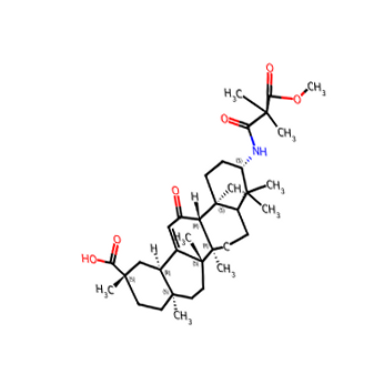 COC(=O)C(C)(C)C(=O)N[C@H]1CC[C@@]2(C)C(CC[C@]3(C)[C@@H]2C(=O)C=C2[C@@H]4C[C@@](C)(C(=O)O)CC[C@]4(C)CC[C@]23C)C1(C)C